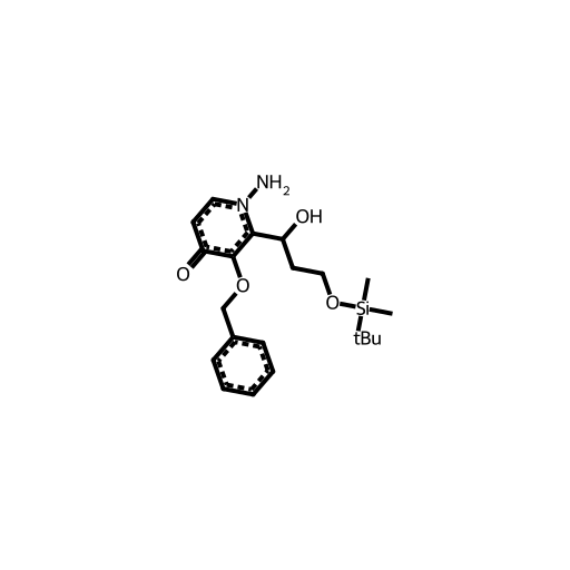 CC(C)(C)[Si](C)(C)OCCC(O)c1c(OCc2ccccc2)c(=O)ccn1N